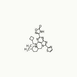 CC1CCC(Cn2c(-c3nccs3)nc3nc(-c4noc(=O)[nH]4)nc(N[C@H](C)C4CCC4)c32)CC1